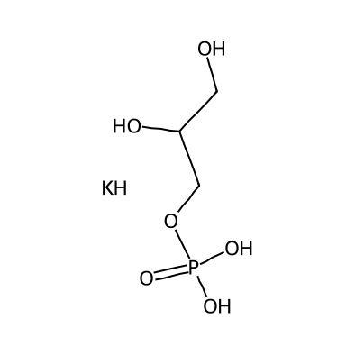 O=P(O)(O)OCC(O)CO.[KH]